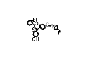 CCc1ccccc1C(=O)c1sc2cc(O)ccc2c1-c1ccc(OCCN2CC(CF)C2)cc1